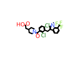 Cn1cc(Cc2c(Cl)ccc(C(=O)N3CCC(CC(=O)O)CC3)c2Cl)c2cccc(C(F)(F)F)c21